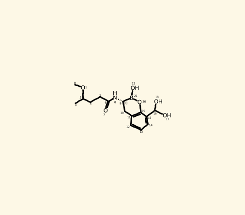 COC(C)CCC(=O)N[C@H]1Cc2cccc(C(O)O)c2OB1O